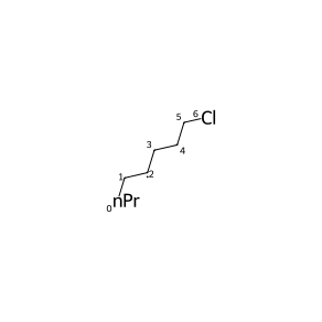 CCCC[CH]CCCCl